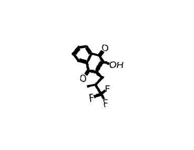 CC(CC1=C(O)C(=O)c2ccccc2C1=O)C(F)(F)F